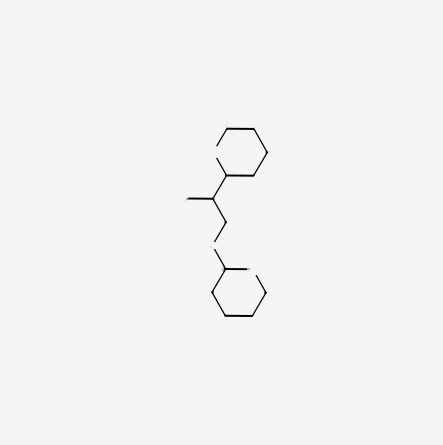 [SiH3]C(C[SiH2]C1CCCCO1)C1CCCCO1